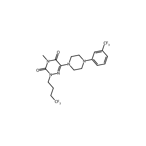 Cn1c(=O)c(N2CCN(c3cccc(C(F)(F)F)c3)CC2)nn(CCCC(F)(F)F)c1=O